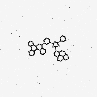 c1ccc(-c2nc(-c3cccc(-c4cc5c6ccccc6c6ccccc6c5c5ccccc45)c3)nc(-c3ccc4ccc5cccc6ccc3c4c56)n2)cc1